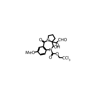 COc1ccc2c(c1)C(=O)N1CCCC1(C(=O)C=O)C(O)N2C(=O)OCC(Cl)(Cl)Cl